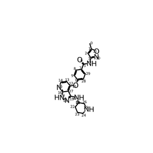 Cc1cc(NC(=O)c2ccc(Oc3ccnc4[nH]nc(N[C@@H]5CCCNC5)c34)cc2)no1